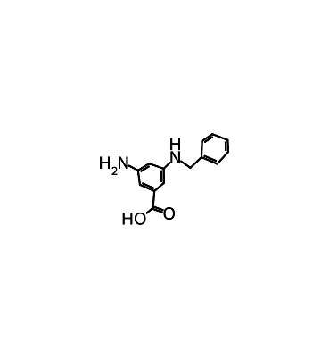 Nc1cc(NCc2ccccc2)cc(C(=O)O)c1